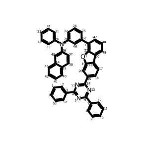 c1ccc(-c2nc(-c3ccccc3)nc(-c3ccc4c(c3)oc3c(-c5cccc(N(c6ccccc6)c6ccc7ccccc7c6)c5)cccc34)n2)cc1